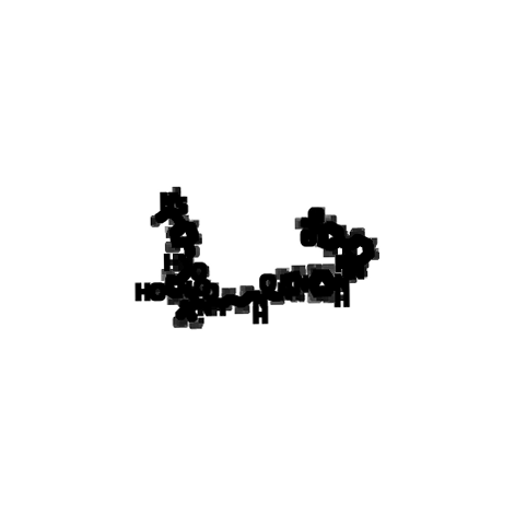 Cc1ncsc1-c1ccc(CNC(=O)C2CC(O)CN2C(=O)[C@@H](NC(=O)CCCCNC(=O)CN2CCN(c3ccc(Nc4nc5cccc(-c6ccc(S(C)(=O)=O)cc6)n5n4)cc3)C2)C(C)(C)C)cc1